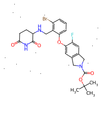 CC(C)(C)OC(=O)N1Cc2cc(F)c(Oc3cccc(Br)c3CNC3CCC(=O)NC3=O)cc2C1